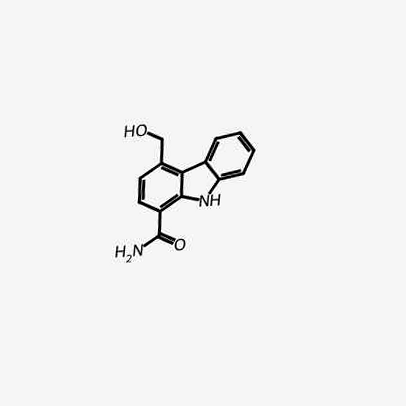 NC(=O)c1ccc(CO)c2c1[nH]c1ccccc12